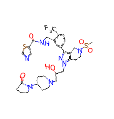 CS(=O)(=O)N1CCc2c(c(-c3ccc(C(F)(F)F)c(CNC(=O)c4cncs4)c3)nn2CC(O)CN2CCC(N3CCCC3=O)CC2)C1